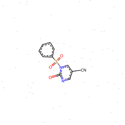 N#Cc1cnc(=O)n(S(=O)(=O)c2ccccc2)c1